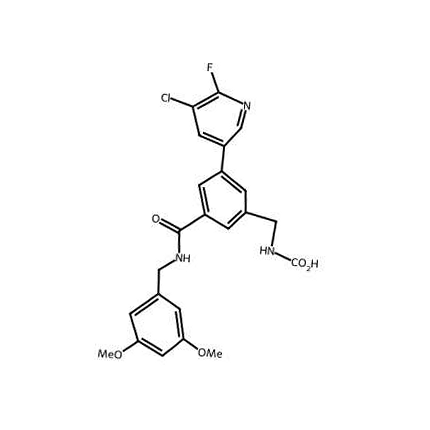 COc1cc(CNC(=O)c2cc(CNC(=O)O)cc(-c3cnc(F)c(Cl)c3)c2)cc(OC)c1